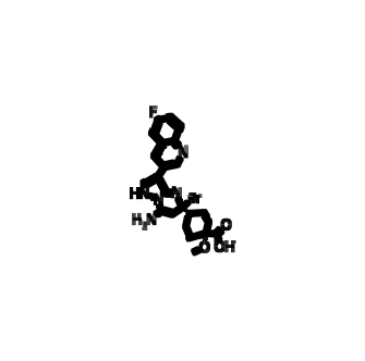 CO[C@]1(C(=O)O)CC[C@H](C2(Br)C=C(N)N3NC=C(c4cnc5ccc(F)cc5c4)C3=N2)CC1